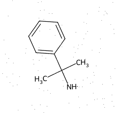 CC(C)([NH])c1ccccc1